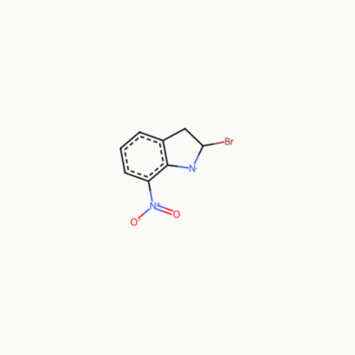 O=[N+]([O-])c1cccc2c1[N]C(Br)C2